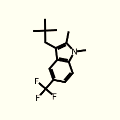 Cc1c(CC(C)(C)C)c2cc(C(F)(F)F)ccc2n1C